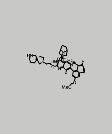 C#Cc1c(F)ccc2cc(OCOC)cc(-c3ncc4c(N5CC6CCC(C5)N6C(=O)OC(C)(C)C)nc(OCCN5CC[C@@]6(CCCNC6)C5)nc4c3F)c12